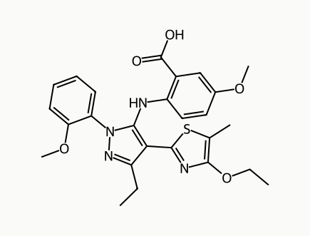 CCOc1nc(-c2c(CC)nn(-c3ccccc3OC)c2Nc2ccc(OC)cc2C(=O)O)sc1C